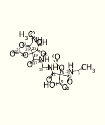 CCNC(=O)C(OC=O)(C(=O)O)C(=O)NCNC(=O)C(OC=O)(C(=O)O)C(=O)NC